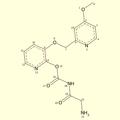 COc1ccnc(COc2cccnc2OC(=O)NC(=O)CN)c1